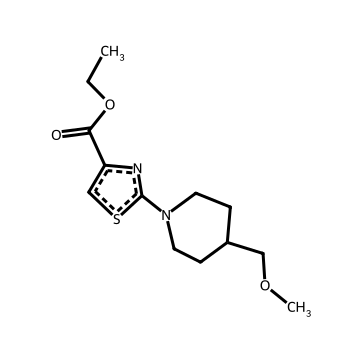 CCOC(=O)c1csc(N2CCC(COC)CC2)n1